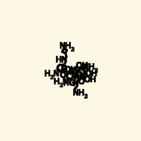 NCCN(O)C(=O)N[C@@H]1C[C@H](N)C(O[C@H]2O[C@H](CNCC3CC(N)C3)CC[C@H]2N)[C@H](O)[C@H]1O[C@H]1O[C@H](CO)[C@@H](O)[C@H](N)[C@H]1O